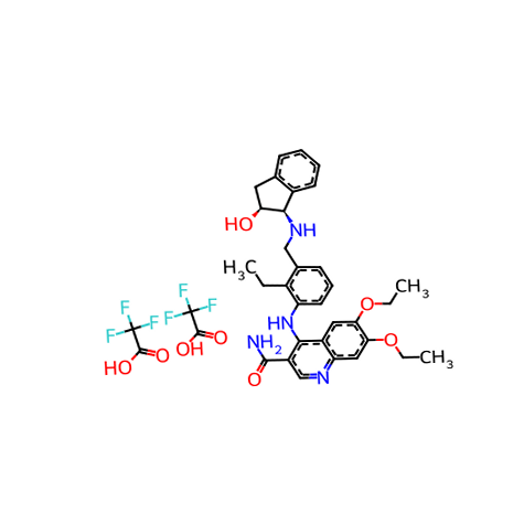 CCOc1cc2ncc(C(N)=O)c(Nc3cccc(CN[C@@H]4c5ccccc5C[C@@H]4O)c3CC)c2cc1OCC.O=C(O)C(F)(F)F.O=C(O)C(F)(F)F